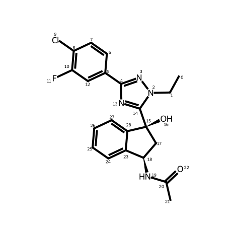 CCn1nc(-c2ccc(Cl)c(F)c2)nc1[C@]1(O)C[C@@H](NC(C)=O)c2ccccc21